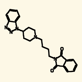 O=C1c2ccccc2C(=O)N1CCCCN1CCC(n2nnc3ccccc32)CC1